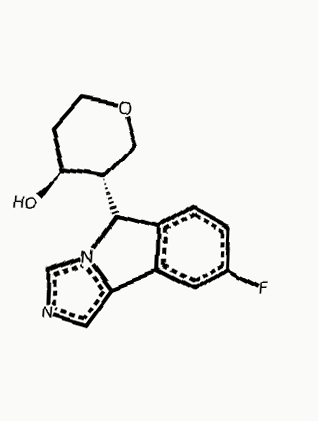 O[C@H]1CCOC[C@@H]1C1c2ccc(F)cc2-c2cncn21